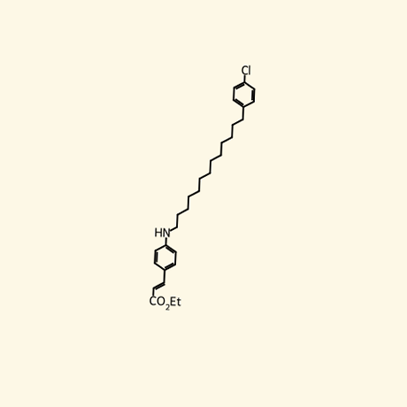 CCOC(=O)C=Cc1ccc(NCCCCCCCCCCCCCc2ccc(Cl)cc2)cc1